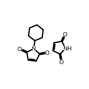 O=C1C=CC(=O)N1.O=C1C=CC(=O)N1C1CCCCC1